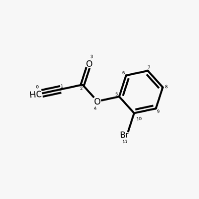 C#CC(=O)Oc1ccccc1Br